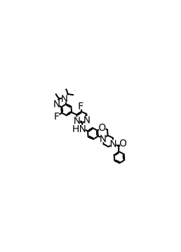 Cc1nc2c(F)cc(-c3nc(Nc4ccc5c(c4)OCC4CN(C(=O)c6ccccc6)CCN54)ncc3F)cc2n1C(C)C